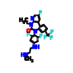 CCN1C(=O)N(c2c(F)cc(NCCNC)cc2F)c2cc(C(F)(F)F)ccc2-c2cc(F)cnc21